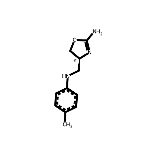 Cc1ccc(NC[C@H]2COC(N)=N2)cc1